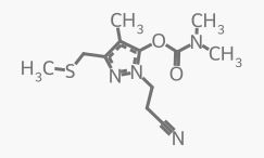 CSCc1nn(CCC#N)c(OC(=O)N(C)C)c1C